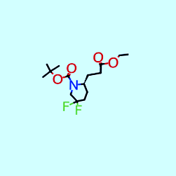 CCOC(=O)CC[C@H]1CCC(F)(F)CN1C(=O)OC(C)(C)C